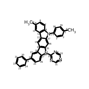 Cc1ccc(-n2c3ccc(C)cc3c3cc4c5cc(-c6ccccc6)ccc5n(-c5ncncn5)c4cc32)cc1